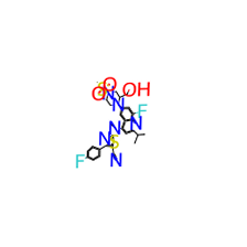 CC(C)c1cc(N(C)c2nc(-c3ccc(F)cc3)c(C#N)s2)c2cc(N3CCN(S(C)(=O)=O)CC3CO)cc(F)c2n1